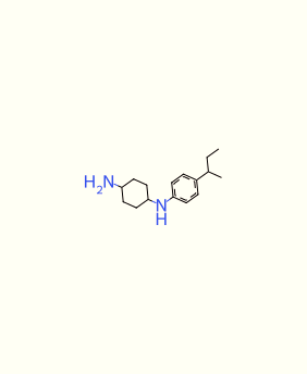 CCC(C)c1ccc(NC2CCC(N)CC2)cc1